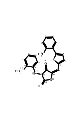 Cc1ccccc1-c1ccc(C=C2SC(=S)N(Nc3ccccc3C(=O)O)C2=O)s1